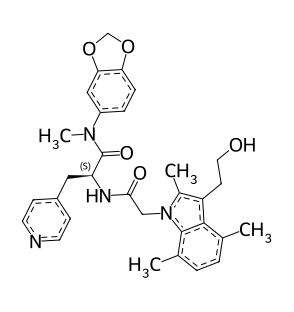 Cc1ccc(C)c2c1c(CCO)c(C)n2CC(=O)N[C@@H](Cc1ccncc1)C(=O)N(C)c1ccc2c(c1)OCO2